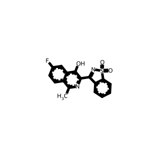 Cc1nc(C2=NS(=O)(=O)c3ccccc32)c(O)c2cc(F)ccc12